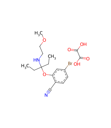 CCC(CC)(NCCOC)Oc1cc(Br)ccc1C#N.O=C(O)C(=O)O